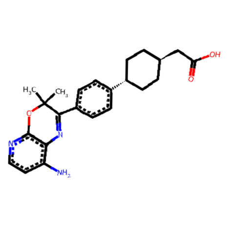 CC1(C)Oc2nccc(N)c2N=C1c1ccc([C@H]2CC[C@H](CC(=O)O)CC2)cc1